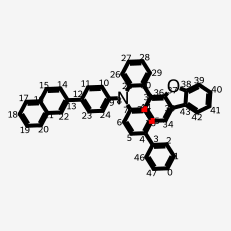 c1ccc(-c2ccc(N(c3ccc(-c4ccc5ccccc5c4)cc3)c3ccccc3-c3cccc4c3oc3ccccc34)cc2)cc1